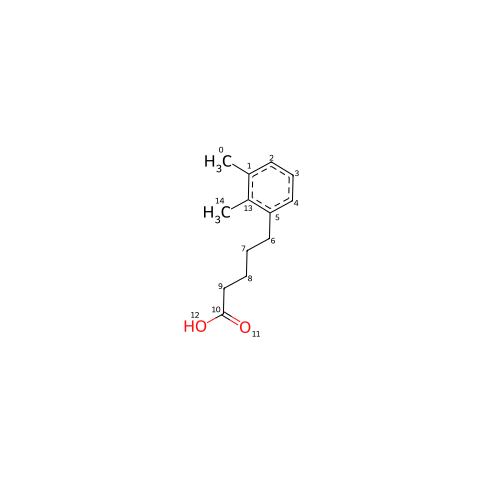 Cc1cccc(CCCCC(=O)O)c1C